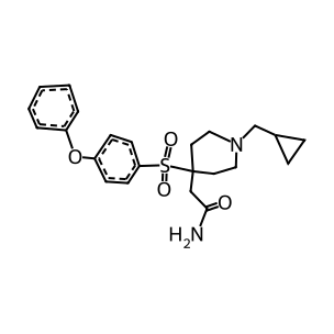 NC(=O)CC1(S(=O)(=O)c2ccc(Oc3ccccc3)cc2)CCN(CC2CC2)CC1